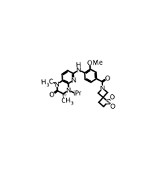 COc1cc(C(=O)N2CC3(CCS3(=O)=O)C2)ccc1Nc1ccc2c(n1)N(C(C)C)[C@H](C)C(=O)N2C